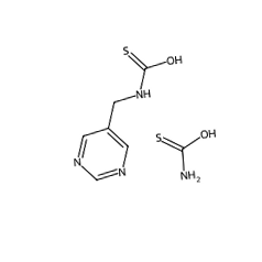 NC(O)=S.OC(=S)NCc1cncnc1